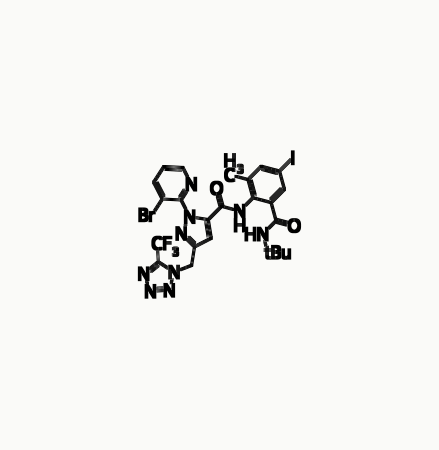 Cc1cc(I)cc(C(=O)NC(C)(C)C)c1NC(=O)c1cc(Cn2nnnc2C(F)(F)F)nn1-c1ncccc1Br